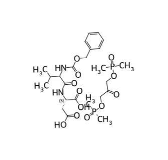 CC(C)C(NC(=O)OCc1ccccc1)C(=O)N[C@@H](CC(=O)O)C(=O)O.CP(C)(=O)OCC(=O)COP(C)(C)=O